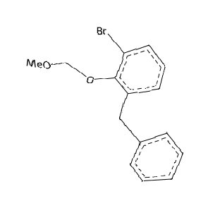 COCOc1c(Br)cccc1Cc1ccccc1